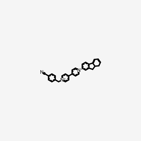 N#Cc1ccc(C[n+]2ccc(-c3cc[n+](-c4ccc5c(c4)CC4CC=CC=C54)cc3)cc2)cc1